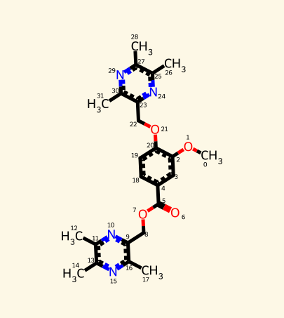 COc1cc(C(=O)OCc2nc(C)c(C)nc2C)ccc1OCc1nc(C)c(C)nc1C